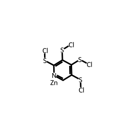 ClSc1cnc(SCl)c(SCl)c1SCl.[Zn]